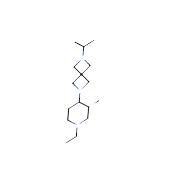 CCN1CCC(N2CC3(CN(C(C)C)C3)C2)[C@@H](C)C1